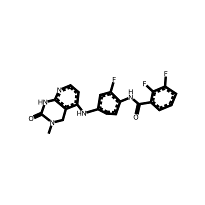 CN1Cc2c(Nc3ccc(NC(=O)c4cccc(F)c4F)c(F)c3)ccnc2NC1=O